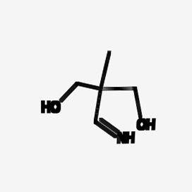 CC(C=N)(CO)CO